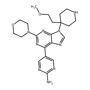 COCCC1(n2cnc3c(-c4cnc(N)nc4)nc(N4CCOCC4)nc32)CCNCC1